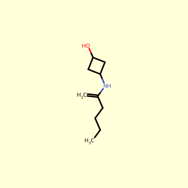 C=C(CCCC)NC1CC(O)C1